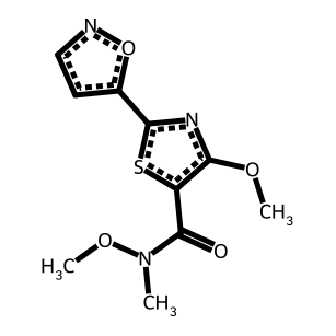 COc1nc(-c2ccno2)sc1C(=O)N(C)OC